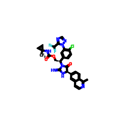 Cc1nccc2cc([C@H]3NC(=N)N([C@H](COC(=O)NC4(C(F)(F)F)CC4)c4ccc(Cl)c(-n5ncnc5C(F)F)c4)C3=O)ccc12